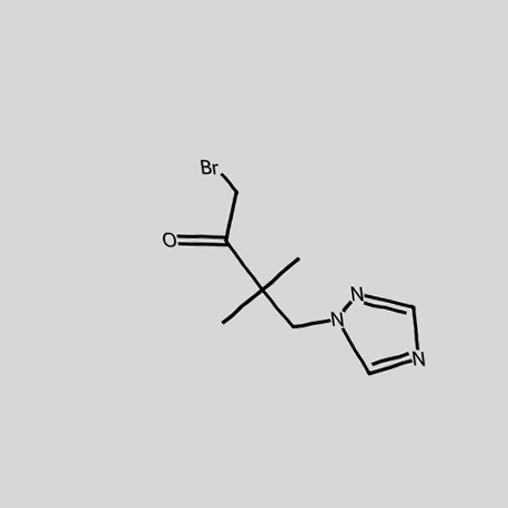 CC(C)(Cn1cncn1)C(=O)CBr